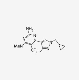 CNc1nc(N)nc(-c2cn(CC3CC3)nc2C)c1C(F)(F)F